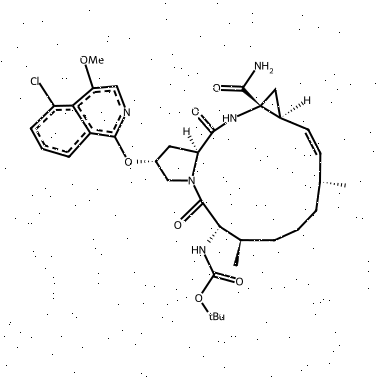 COc1cnc(O[C@@H]2C[C@H]3C(=O)N[C@]4(C(N)=O)C[C@H]4/C=C\[C@H](C)CCC[C@@H](C)[C@H](NC(=O)OC(C)(C)C)C(=O)N3C2)c2cccc(Cl)c12